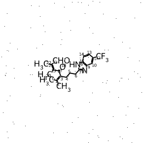 CC(C)=C(CCCc1nc2cc(C(F)(F)F)ccc2[nH]1)C(=O)/C(C)=C(/C)C=O